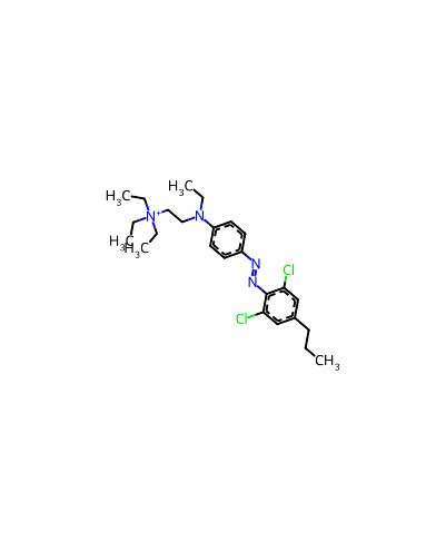 CCCc1cc(Cl)c(/N=N/c2ccc(N(CC)CC[N+](CC)(CC)CC)cc2)c(Cl)c1